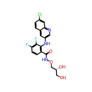 O=C(NOC[C@H](O)CO)c1ccc(F)c(F)c1Nc1cnc2cc(Cl)ccc2c1